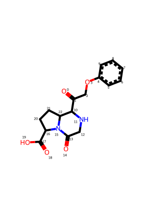 O=C(COc1ccccc1)C1NCC(=O)N2C(C(=O)O)CCC12